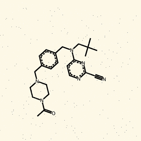 CC(=O)N1CCN(Cc2ccc(CN(CC(C)(C)C)c3ccnc(C#N)n3)cc2)CC1